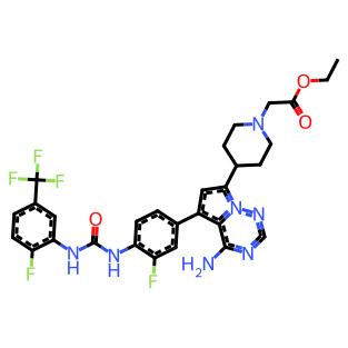 CCOC(=O)CN1CCC(c2cc(-c3ccc(NC(=O)Nc4cc(C(F)(F)F)ccc4F)c(F)c3)c3c(N)ncnn23)CC1